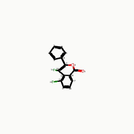 O=c1oc(-c2ccccc2)c(F)c2c(F)cccc12